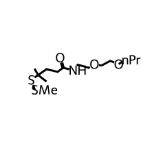 CCCOCCOCCNC(=O)CCC(C)(C)SSC